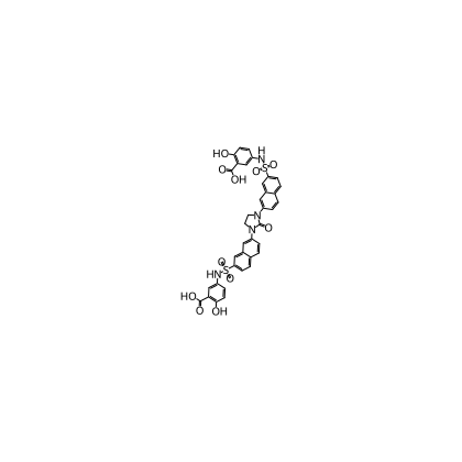 O=C(O)c1cc(NS(=O)(=O)c2ccc3ccc(N4CCN(c5ccc6ccc(S(=O)(=O)Nc7ccc(O)c(C(=O)O)c7)cc6c5)C4=O)cc3c2)ccc1O